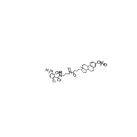 COc1ccc(N)c(O)c1C(=O)NCCCNC(=O)CCCC1CCC2C3CCc4cc(OP(C)(C)=O)ccc4C3CCC12C